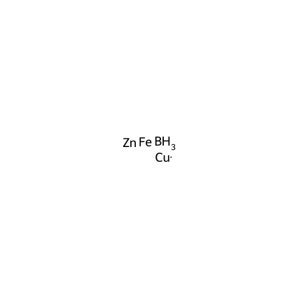 B.[Cu].[Fe].[Zn]